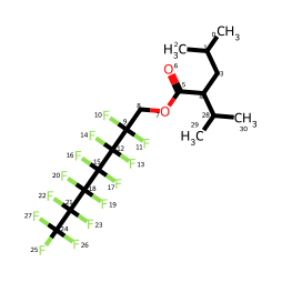 CC(C)CC(C(=O)OCC(F)(F)C(F)(F)C(F)(F)C(F)(F)C(F)(F)C(F)(F)F)C(C)C